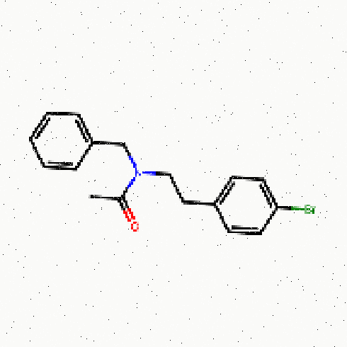 CC(=O)N(CCc1ccc(Br)cc1)Cc1ccccc1